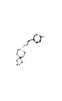 O=S1(=O)CC2(CCN(CC[C@H](F)c3ccc(C(F)(F)F)nc3)CC2)C1